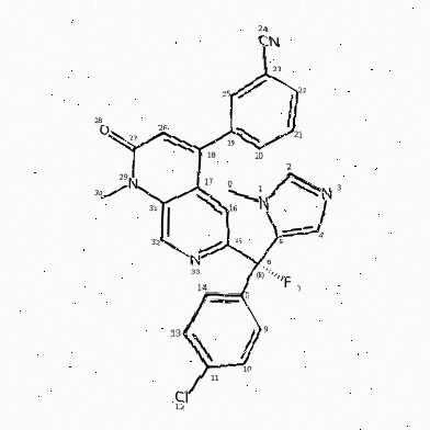 Cn1cncc1[C@@](F)(c1ccc(Cl)cc1)c1cc2c(-c3cccc(C#N)c3)cc(=O)n(C)c2cn1